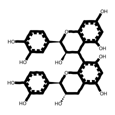 Oc1cc(O)c2c(c1)O[C@H](c1ccc(O)c(O)c1)[C@H](O)C2c1c(O)cc(O)c2c1O[C@H](c1ccc(O)c(O)c1)[C@@H](O)C2